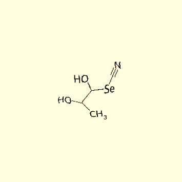 CC(O)C(O)[Se]C#N